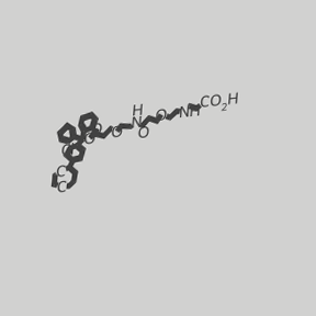 O=C(O)CCNCCOCCC(=O)NCCOCCC(=O)OC(c1ccccc1)(c1ccc(C2CCCCCCC2)cc1)c1ccccc1Cl